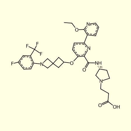 CCOc1ncccc1-c1ccc(OC2CC3(C2)CN(c2ccc(F)cc2C(F)(F)F)C3)c(C(=O)N[C@@H]2CCN(CCC(=O)O)C2)n1